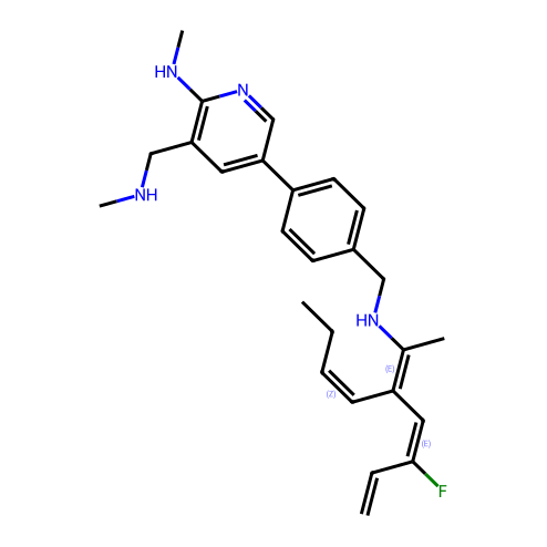 C=C\C(F)=C/C(/C=C\CC)=C(\C)NCc1ccc(-c2cnc(NC)c(CNC)c2)cc1